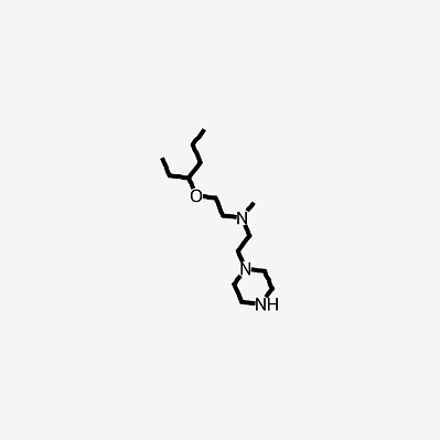 CCCC(CC)OCCN(C)CCN1CCNCC1